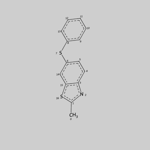 Cc1nc2ccc(Sc3ccccc3)cc2s1